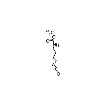 COC(=O)NCCCCN=C=O